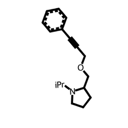 CC(C)N1CCCC1COCC#Cc1ccccc1